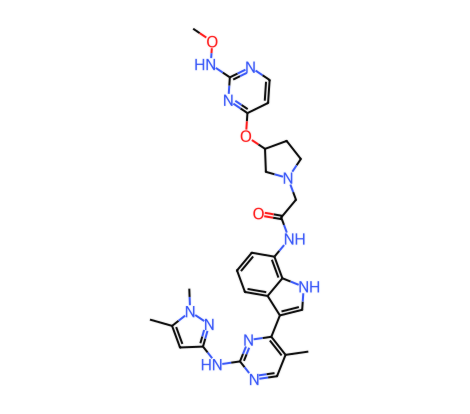 CONc1nccc(OC2CCN(CC(=O)Nc3cccc4c(-c5nc(Nc6cc(C)n(C)n6)ncc5C)c[nH]c34)C2)n1